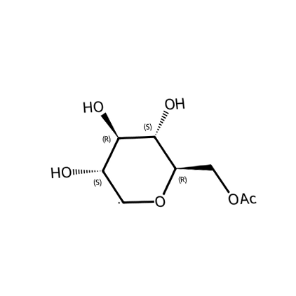 CC(=O)OC[C@H]1O[CH][C@H](O)[C@@H](O)[C@@H]1O